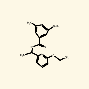 CC(=O)Nc1cc(C(=O)NC(C)c2cccc(OCC(F)(F)F)n2)cc(C)n1